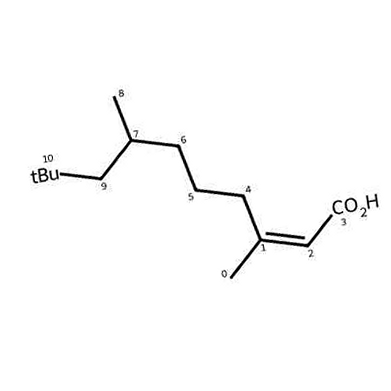 CC(=CC(=O)O)CCCC(C)CC(C)(C)C